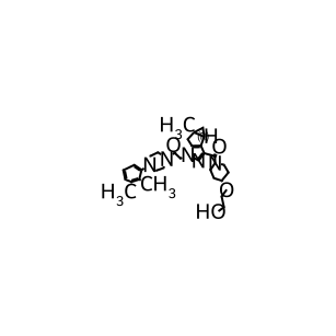 Cc1cccc(N2CCN(C(=O)Cn3nc(C(=O)N4CCC(OCCO)CC4)c4c3CC3(C)C[C@@H]43)CC2)c1C